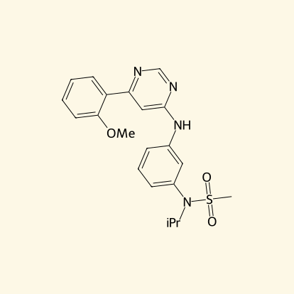 COc1ccccc1-c1cc(Nc2cccc(N(C(C)C)S(C)(=O)=O)c2)ncn1